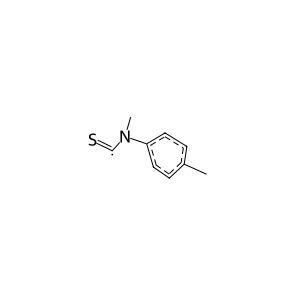 Cc1ccc(N(C)[C]=S)cc1